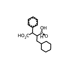 O=C(O)C(c1ccccc1)C(CC1CCCCC1)[PH](=O)O